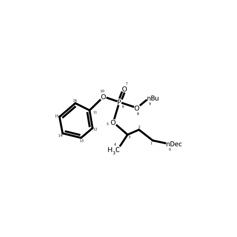 CCCCCCCCCCCCC(C)OP(=O)(OCCCC)Oc1ccccc1